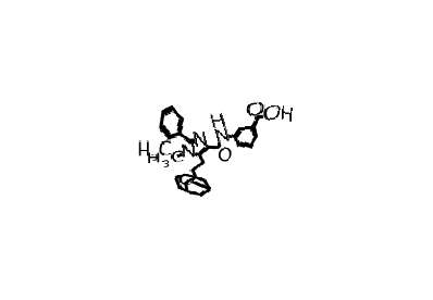 Cc1ccccc1-c1nc(C(=O)Nc2cccc(C(=O)O)c2)c(CCC23CC4CC(CC(C4)C2)C3)n1C